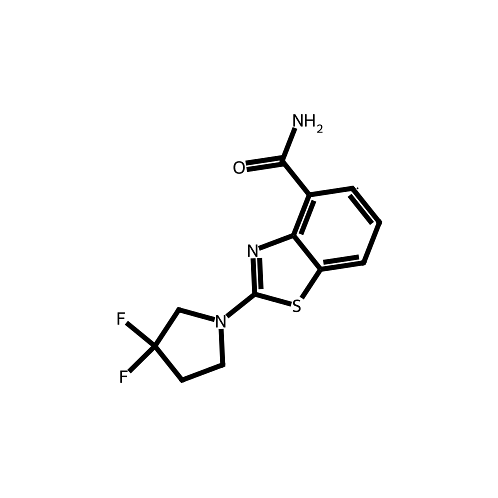 NC(=O)c1[c]ccc2sc(N3CCC(F)(F)C3)nc12